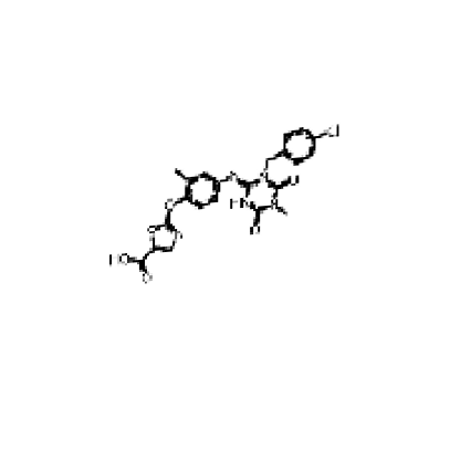 Cc1cc(/N=c2\[nH]c(=O)n(C)c(=O)n2Cc2ccc(Cl)cc2)ccc1OC1=NCC(C(=O)O)S1